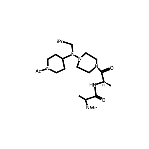 CNC(C)C(=O)N[C@H](C)C(=O)N1CCN(N(CC(C)C)C2CCN(C(C)=O)CC2)CC1